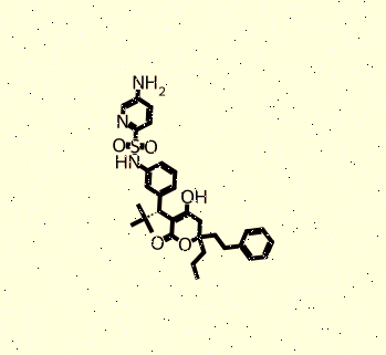 CCCC1(CCc2ccccc2)CC(O)=C([C@@H](c2cccc(NS(=O)(=O)c3ccc(N)cn3)c2)C(C)(C)C)C(=O)O1